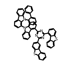 c1ccc(-c2ccccc2-n2c3ccccc3c3cccc(-n4c5ccccc5c5c(-c6nc(-c7ccc8sc9ccccc9c8c7)nc(-c7cccc8sc9ccccc9c78)n6)cccc54)c32)cc1